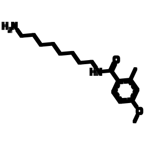 COc1ccc(C(=O)NCCCCCCCCN)c(C)c1